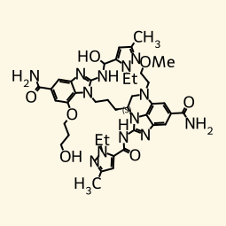 CCn1nc(C)cc1C(=O)Nc1nc2cc(C(N)=O)cc3c2n1[C@@H](CCCn1c(NC(O)c2cc(C)nn2CC)nc2cc(C(N)=O)cc(OCCCO)c21)CN3CCOC